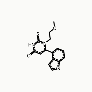 COCCn1c(-c2cccc3sccc23)cc(=O)[nH]c1=S